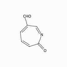 O=Cc1cccc(=O)nc1